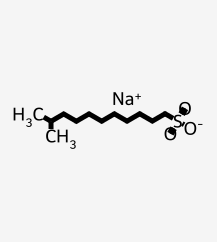 CC(C)CCCCCCCCCS(=O)(=O)[O-].[Na+]